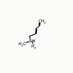 C=CC=CC[SiH](C)C